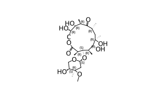 CO[C@]1(C)C[C@H](O[C@H]2[C@H](C)[C@@H](O)[C@](C)(O)C[C@@H](C)C(=O)[C@H](C)[C@@H](O)[C@H](O)COC(=O)[C@@H]2C)OC[C@@H]1O